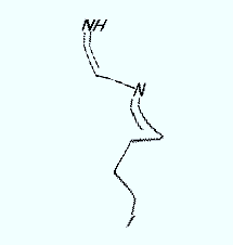 N=C/N=C\CI